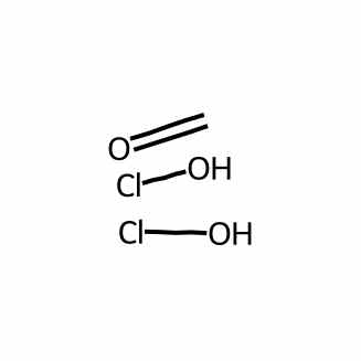 C=O.OCl.OCl